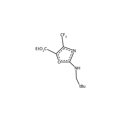 CCOC(=O)c1oc(NCC(C)(C)C)nc1C(F)(F)F